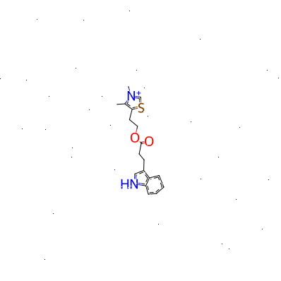 Cc1c(CCOC(=O)CCc2c[nH]c3ccccc23)sc[n+]1C